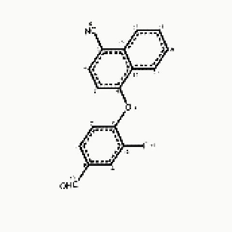 N#Cc1ccc(Oc2ccc(C=O)cc2F)c2ccccc12